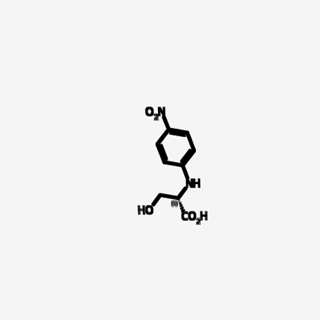 O=C(O)[C@H](CO)Nc1ccc([N+](=O)[O-])cc1